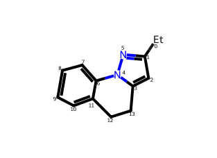 CCc1cc2n(n1)-c1ccccc1CC2